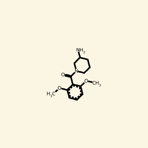 COc1cccc(OC)c1C(=O)N1CCCC(N)C1